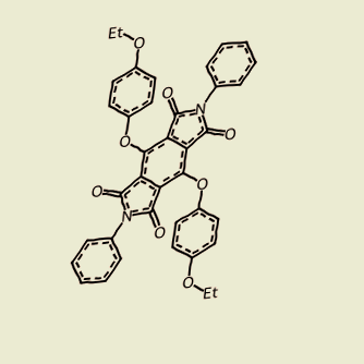 CCOc1ccc(Oc2c3c(=O)n(-c4ccccc4)c(=O)c3c(Oc3ccc(OCC)cc3)c3c(=O)n(-c4ccccc4)c(=O)c23)cc1